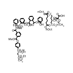 C=C.C=C.CCCCCCCCOC(=O)CCCCC(=O)OCCCCCCCC.CCOC(=O)C(=O)O.CCOC(=O)CC(=O)OCC.CCOC(=O)c1ccccc1.CCOC(=O)c1ccccc1C(=O)OCC.COC(=O)c1cccc(C(=O)OC)c1.COC(=O)c1ccccc1C(=O)OC.O=C(O)CCCCC(=O)O.O=C(O)c1ccccc1.Oc1ccccc1